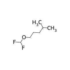 C[C](C)CCCOC(F)F